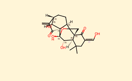 C=C1C(=O)[C@]23[C@H](O)[C@H]1CC[C@H]2C12C[C@]14C(=O)/C(=C\O)CC(C)(C)[C@H]4[C@H](O)[C@@]3(O)O2